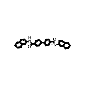 O=C(Nc1ccc2ccccc2c1)c1ccc(-c2ccc(C(=O)Nc3ccc4ccccc4c3)cc2)cc1